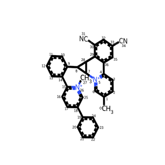 Cc1ccc2[n+](c1)C1C(c3ccccc3-c3ccc(-c4ccccc4)c[n+]3C)C1c1c(C#N)cc(C#N)cc1-2